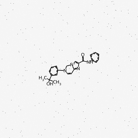 CC(C)(O)c1cccc(N2C=CC3=NC(C(=O)Nc4ccccc4)=C[N+]3C2)c1